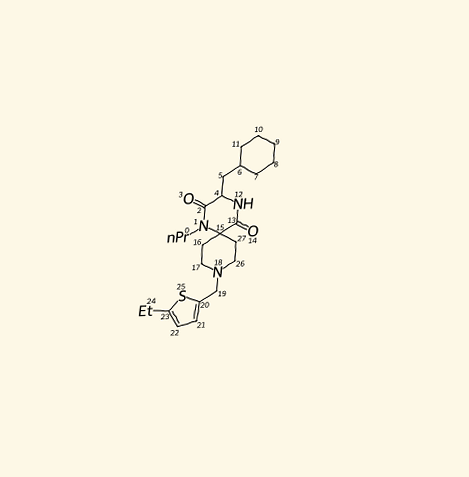 CCCN1C(=O)C(CC2CCCCC2)NC(=O)C12CCN(Cc1ccc(CC)s1)CC2